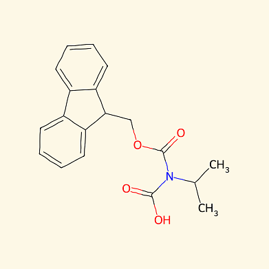 CC(C)N(C(=O)O)C(=O)OCC1c2ccccc2-c2ccccc21